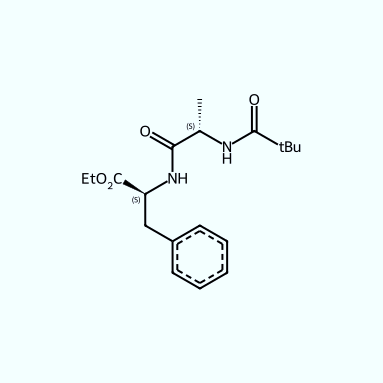 CCOC(=O)[C@H](Cc1ccccc1)NC(=O)[C@H](C)NC(=O)C(C)(C)C